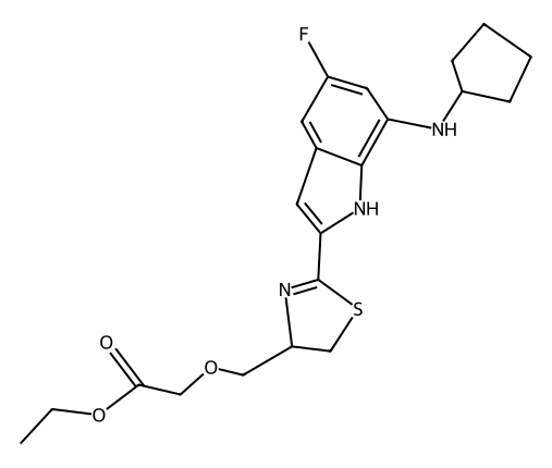 CCOC(=O)COCC1CSC(c2cc3cc(F)cc(NC4CCCC4)c3[nH]2)=N1